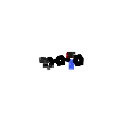 C/C(=C\C(C)(C)C)c1ccc(C(=O)Nc2ccccc2C#N)cc1